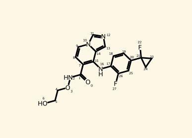 O=C(NOCCO)c1ccn2cncc2c1Nc1ccc(C2(F)CC2)cc1F